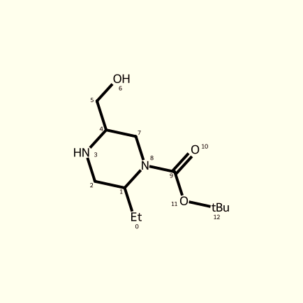 CCC1CNC(CO)CN1C(=O)OC(C)(C)C